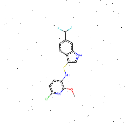 COc1nc(Cl)ccc1NSc1c[nH]c2cc(C(F)F)ccc12